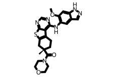 COc1cc2[nH]ncc2cc1Nc1ncnc2sc3c(c12)CC[C@](C)(C(=O)N1CCOCC1)C3